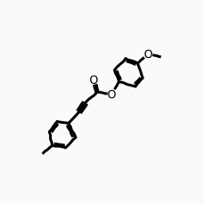 COc1ccc(OC(=O)C#Cc2ccc(C)cc2)cc1